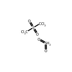 O=S(=O)(C(Cl)(Cl)Cl)C(Cl)(Cl)Cl.O=[SH2]=O